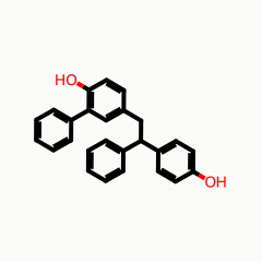 Oc1ccc(C(Cc2ccc(O)c(-c3ccccc3)c2)c2ccccc2)cc1